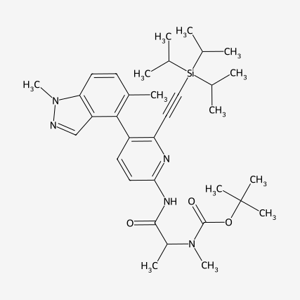 Cc1ccc2c(cnn2C)c1-c1ccc(NC(=O)C(C)N(C)C(=O)OC(C)(C)C)nc1C#C[Si](C(C)C)(C(C)C)C(C)C